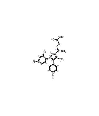 Cc1c(/C(N)=N/OC(=O)C(C)(C)C)nn(-c2ccc(Cl)cc2Cl)c1-c1ccc(Cl)cc1